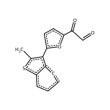 Cc1sc2ccccc2c1-c1ccc(C(=O)C=O)o1